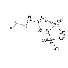 CCCNC(=O)O[C@@H](C(Cl)(Cl)Cl)P(O)(O)=S